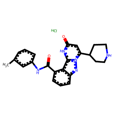 Cc1cccc(NC(=O)c2cccc3nn4c(C5CCNCC5)cc(=O)[nH]c4c23)c1.Cl